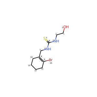 OCCNC(=S)NCC1=C(Br)CCCC1